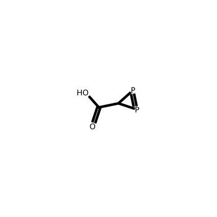 O=C(O)C1P=P1